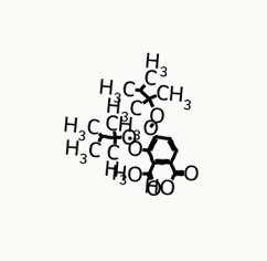 CC(C)C(C)(C)OOc1ccc(C(=O)O)c(C(=O)O)c1OOC(C)(C)C(C)C